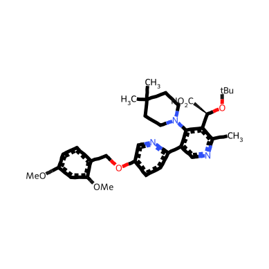 COc1ccc(COc2ccc(-c3cnc(C)c([C@H](OC(C)(C)C)C(=O)O)c3N3CCC(C)(C)CC3)nc2)c(OC)c1